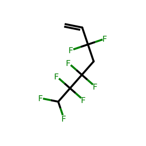 C=CC(F)(F)CC(F)(F)C(F)(F)C(F)F